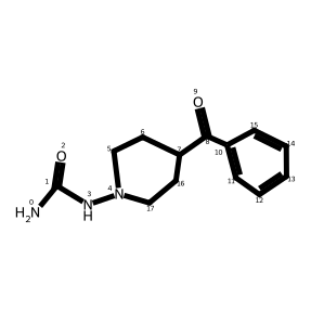 NC(=O)NN1CCC(C(=O)c2ccccc2)CC1